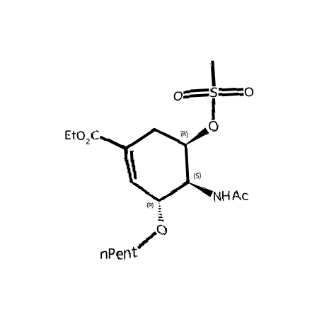 CCCCCO[C@@H]1C=C(C(=O)OCC)C[C@@H](OS(C)(=O)=O)[C@H]1NC(C)=O